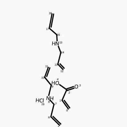 C=CC(=O)O.C=CCNCC=C.C=CCNCC=C.Cl